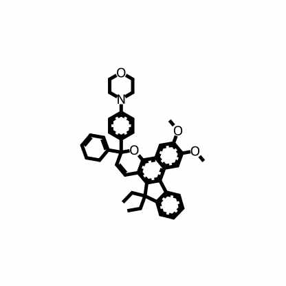 CCC1(CC)c2ccccc2-c2c1c1c(c3cc(OC)c(OC)cc23)OC(C2=CC=CCC2)(c2ccc(N3CCOCC3)cc2)C=C1